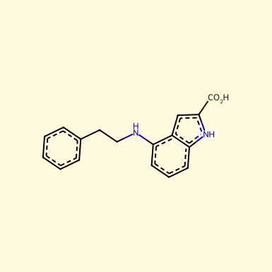 O=C(O)c1cc2c(NCCc3ccccc3)cccc2[nH]1